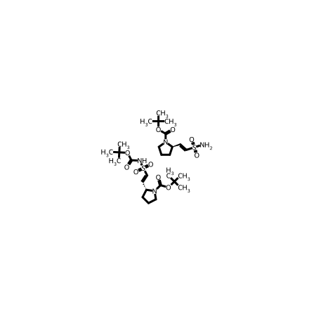 CC(C)(C)OC(=O)N1CCC[C@@H]1/C=C/S(N)(=O)=O.CC(C)(C)OC(=O)NS(=O)(=O)/C=C/[C@H]1CCCN1C(=O)OC(C)(C)C